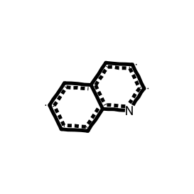 [c]1[c]nc2cc[c]cc2c1